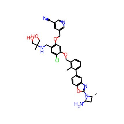 Cc1c(COc2cc(OCc3cncc(C#N)c3)c(CNC(C)(CO)CO)cc2Cl)cccc1-c1ccc2oc(N3C(N)C[C@H]3C)nc2c1